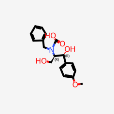 COc1ccc([C@@H](O)[C@@H](CO)N(Cc2ccccc2)C(=O)O)cc1